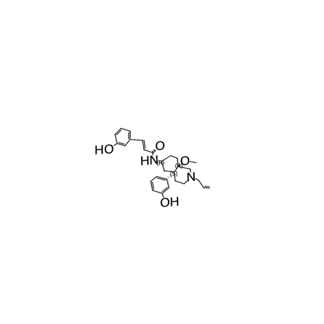 C=CCN1CC[C@@]2(c3cccc(O)c3)C[C@H](NC(=O)C=Cc3cccc(O)c3)CC[C@]2(OC)C1